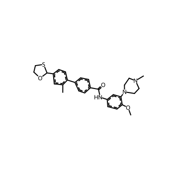 COc1ccc(NC(=O)c2ccc(-c3ccc(C4OCCS4)cc3C)cc2)cc1N1CCN(C)CC1